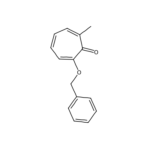 Cc1ccccc(OCc2ccccc2)c1=O